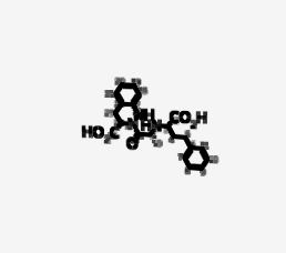 C[C@@H](NC(CCc1ccccc1)C(=O)O)C(=O)N1Nc2ccccc2CC1C(=O)O